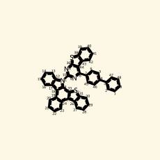 c1ccc(-c2ccc(-c3nc(-n4c5ccccc5c5c6ccccc6c6c7ccccc7sc6c54)nc4sc5ccccc5c34)cc2)cc1